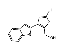 OCc1sc(Cl)cc1-c1cc2ccccc2s1